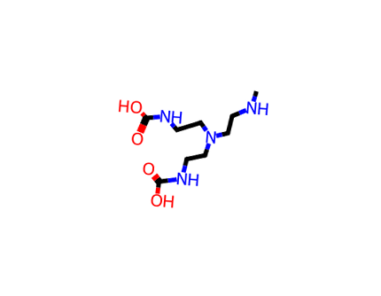 CNCCN(CCNC(=O)O)CCNC(=O)O